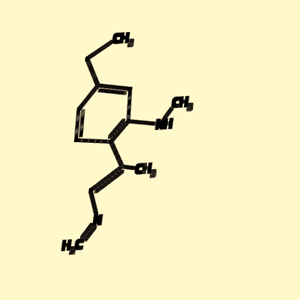 C=N/C=C(\C)c1ccc(CC)cc1NC